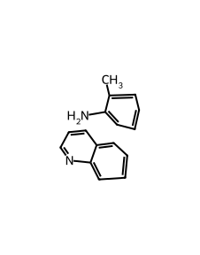 Cc1ccccc1N.c1ccc2ncccc2c1